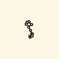 c1cnc2c(c1)ccc1ccc(-c3ccc(-c4ccc5c(c4)c4ccccc4c4cccc6ccc7cccc5c7c64)cc3)nc12